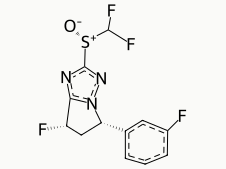 [O-][S@@+](c1nc2n(n1)[C@H](c1cccc(F)c1)C[C@@H]2F)C(F)F